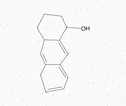 OC1CCCC2C=C3CC=CC=C3C=C12